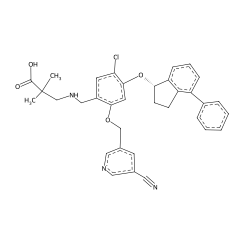 CC(C)(CNCc1cc(Cl)c(O[C@H]2CCc3c(-c4ccccc4)cccc32)cc1OCc1cncc(C#N)c1)C(=O)O